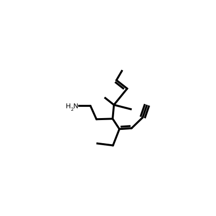 C#C/C=C(/CC)C(CCN)C(C)(C)C=CC